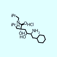 CC(C)CNC(=O)[C@](O)(CC(C)C)C[C@H](O)[C@@H](N)CC1CCCCC1.Cl